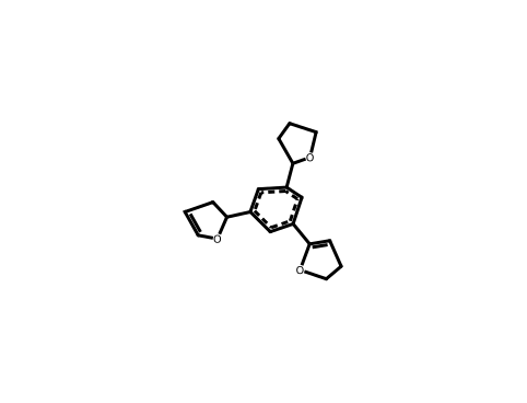 C1=COC(c2cc(C3=CCCO3)cc(C3CCCO3)c2)C1